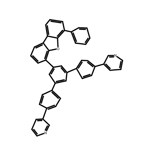 c1ccc(-c2cccc3c2oc2c(-c4cc(-c5ccc(-c6cccnc6)cc5)cc(-c5ccc(-c6cccnc6)cc5)c4)cccc23)cc1